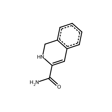 NC(=O)C1=Cc2ccccc2CN1